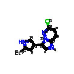 CCc1cc(-c2cnc3ccc(Cl)nn23)c[nH]1